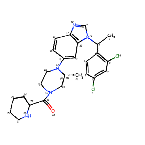 CC(c1ccc(Cl)cc1Cl)n1cnc2ccc(N3CCN(C(=O)C4CCCCN4)C[C@H]3C)cc21